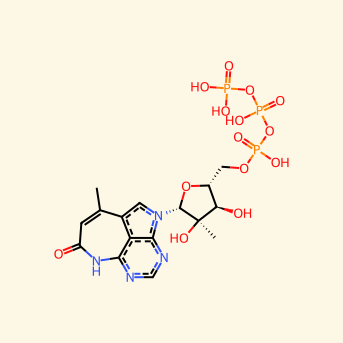 CC1=CC(=O)Nc2ncnc3c2c1cn3[C@@H]1O[C@H](COP(=O)(O)OP(=O)(O)OP(=O)(O)O)[C@@H](O)[C@@]1(C)O